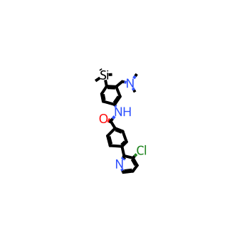 CN(C)Cc1cc(NC(=O)c2ccc(-c3ncccc3Cl)cc2)ccc1[Si](C)(C)C